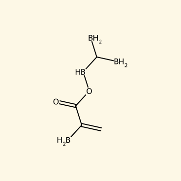 BC(=C)C(=O)OBC(B)B